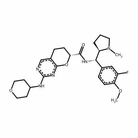 COc1ccc([C@H](NC(=O)[C@H]2CCc3cnc(NC4CCOCC4)nc3O2)[C@H]2CCCN2C)cc1F